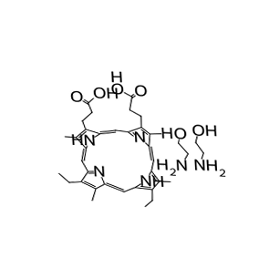 CCC1=C(C)c2cc3[nH]c(cc4nc(cc5[nH]c(cc1n2)c(C)c5CCC(=O)O)C(CCC(=O)O)=C4C)c(C)c3CC.NCCO.NCCO